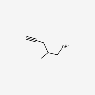 C#CCC(C)CCCC